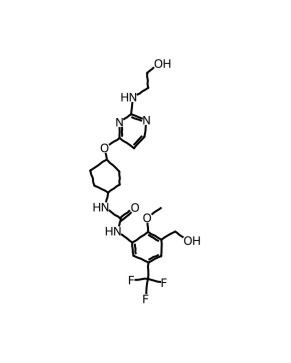 COc1c(CO)cc(C(F)(F)F)cc1NC(=O)NC1CCC(Oc2ccnc(NCCO)n2)CC1